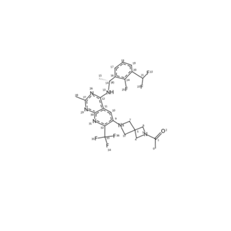 CC(=O)N1CC2(C1)CN(c1cc3c(N[C@H](C)c4cccc(C(F)F)c4F)nc(C)nc3nc1C(F)(F)F)C2